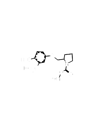 Cc1ccc(OCC2CCCN2C(=O)OC(C)(C)C)cc1C(=O)O